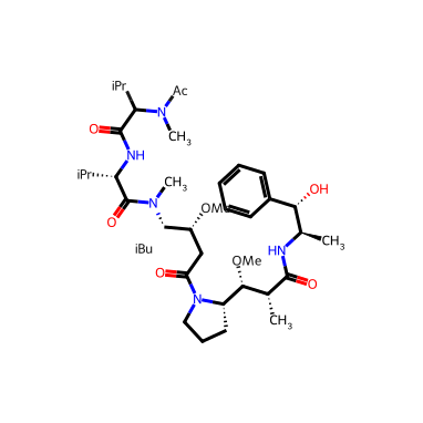 CC[C@H](C)[C@@H]([C@@H](CC(=O)N1CCC[C@H]1[C@H](OC)[C@@H](C)C(=O)N[C@H](C)[C@@H](O)c1ccccc1)OC)N(C)C(=O)[C@@H](NC(=O)C(C(C)C)N(C)C(C)=O)C(C)C